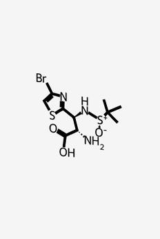 CC(C)(C)[S@+]([O-])N[C@H](c1nc(Br)cs1)[C@H](N)C(=O)O